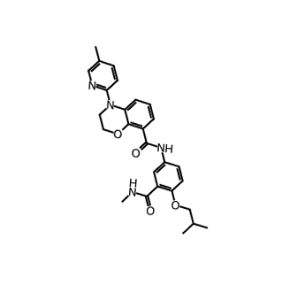 CNC(=O)c1cc(NC(=O)c2cccc3c2OCCN3c2ccc(C)cn2)ccc1OCC(C)C